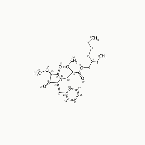 CCCCC(CC)COC(=O)C(CN1C(=O)N(OC)C(=O)C1=Cc1ccccc1)OC